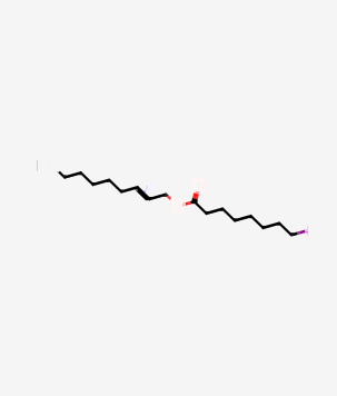 CCCCCC/C=C/COC(=O)CCCCCCCI